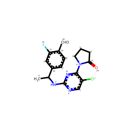 CC(Nc1ncc(Cl)c(N2CCCC2=O)n1)c1ccc(C=O)c(F)c1